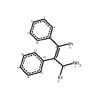 CCC(N)/C(=C(/c1ccccc1)C(C)C)c1ccccc1